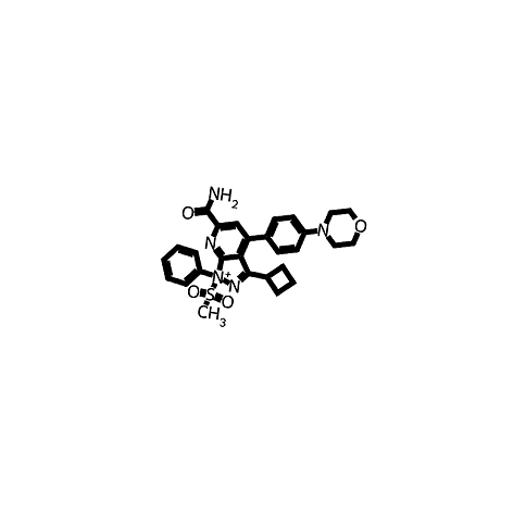 CS(=O)(=O)[N+]1(c2ccccc2)N=C(C2CCC2)c2c(-c3ccc(N4CCOCC4)cc3)cc(C(N)=O)nc21